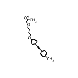 Cc1ccc(C#Cc2ccc(OCCCCOCC3(C)CO3)cc2)cc1